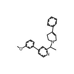 COc1cccc(-c2ccnc(C(C)N3CC=C(c4ccccc4)CC3)c2)c1